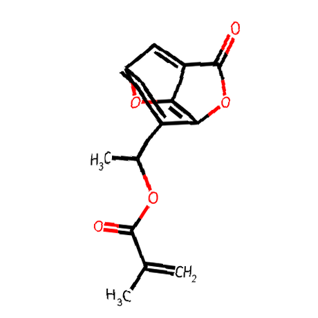 C=C(C)C(=O)OC(C)c1c2c3oc1cc3C(=O)O2